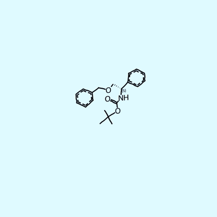 CC(C)(C)OC(=O)N[C@H](COCc1ccccc1)c1ccccc1